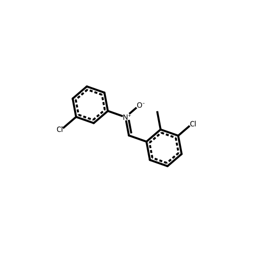 Cc1c(Cl)cccc1C=[N+]([O-])c1cccc(Cl)c1